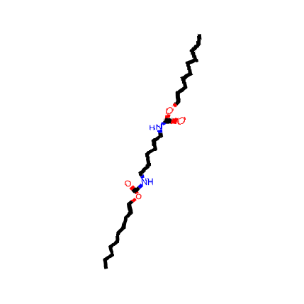 CCCCCCCCCCOC(=O)NCCCCCCNC(=O)OCCCCCCCCCC